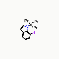 CC(C)[Si](C(C)C)(C(C)C)n1ccc2cccc(I)c21